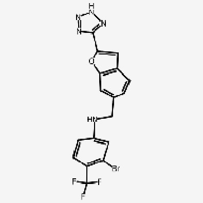 FC(F)(F)c1ccc(NCc2ccc3cc(-c4nn[nH]n4)oc3c2)cc1Br